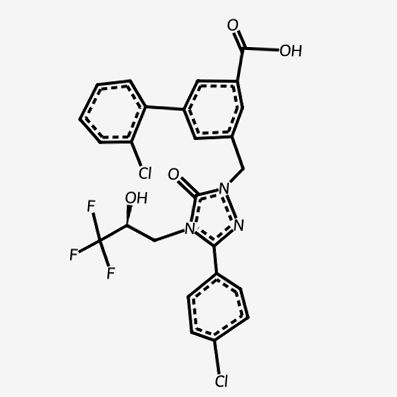 O=C(O)c1cc(Cn2nc(-c3ccc(Cl)cc3)n(C[C@H](O)C(F)(F)F)c2=O)cc(-c2ccccc2Cl)c1